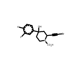 O=C(O)N1CCC(O)(c2ccc(F)c(F)c2)CC1C#CBr